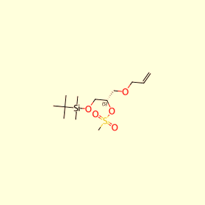 C=CCOC[C@@H](CO[Si](C)(C)C(C)(C)C)OS(C)(=O)=O